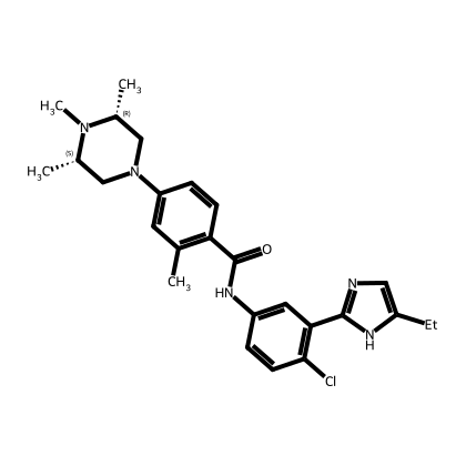 CCc1cnc(-c2cc(NC(=O)c3ccc(N4C[C@@H](C)N(C)[C@@H](C)C4)cc3C)ccc2Cl)[nH]1